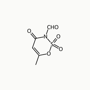 CC1=CC(=O)N(C=O)S(=O)(=O)O1